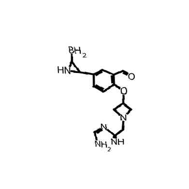 BC1NC1c1ccc(OC2CN(CC(=N)/N=C\N)C2)c(C=O)c1